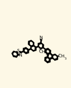 CC1C=Cc2c(c3ccc(C4=CC(C#N)=CC(C5=CCC(c6ccc(-c7nc8c(s7)CCC=C8)cc6)C6=C5CCC=C6)[C@@H]4C)cc3c3ccccc23)C1